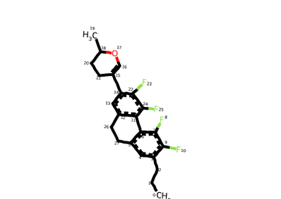 CCCc1cc2c(c(F)c1F)-c1c(cc(C3=COC(C)CC3)c(F)c1F)CC2